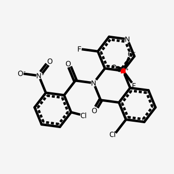 O=C(c1c(Cl)cccc1[N+](=O)[O-])N(C(=O)c1c(Cl)cccc1[N+](=O)[O-])c1c(F)cncc1F